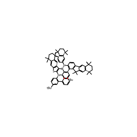 CC(C)(C)c1ccc(N2c3cc(C(C)(C)C)cc4c3B(c3c2sc2cc5c(cc32)C(C)(C)CCC5(C)C)N(c2ccc3c(c2)C(C)(C)CCC3(C)C)c2ccc3c(c2-4)C(C)(C)c2cc4c(cc2-3)C(C)(C)CCC4(C)C)c(-c2ccccc2)c1